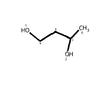 CC(O)C[CH]O